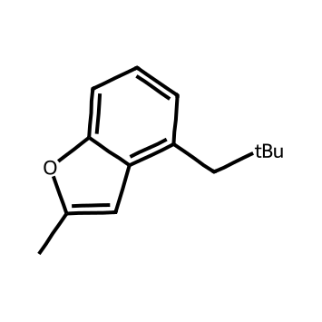 Cc1cc2c(CC(C)(C)C)cccc2o1